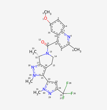 COc1ccc2nc(C)cc(C(=O)N3CCc4c(nn(C)c4-c4cc(C(F)(F)F)nn4C)[C@@H]3C)c2c1